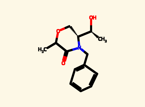 CC1OC[C@H]([C@@H](C)O)N(Cc2ccccc2)C1=O